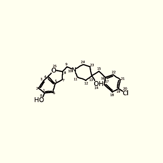 Oc1ccc2c(c1)CC(CN1CCC(O)(Cc3ccc(Cl)cc3)CC1)O2